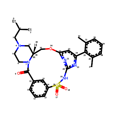 CCC(CC)CN1CCN2C(=O)c3cccc(c3)S(=O)(=O)Nc3nc(cc(-c4c(C)cccc4C)n3)OC[C@H]2C1